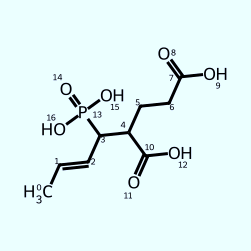 C/C=C/C(C(CCC(=O)O)C(=O)O)P(=O)(O)O